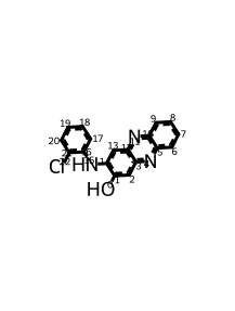 Oc1cc2nc3ccccc3nc2cc1Nc1ccccc1Cl